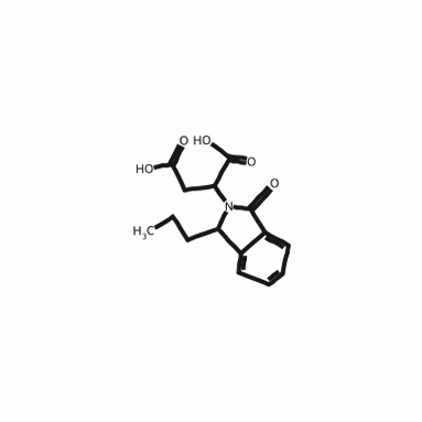 CCCC1c2ccccc2C(=O)N1C(CC(=O)O)C(=O)O